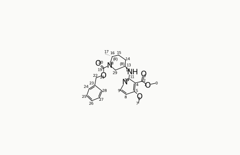 COC(=O)c1c(OC)ccnc1N[C@@H]1CC[C@@H](C)N(C(=O)OCc2ccccc2)C1